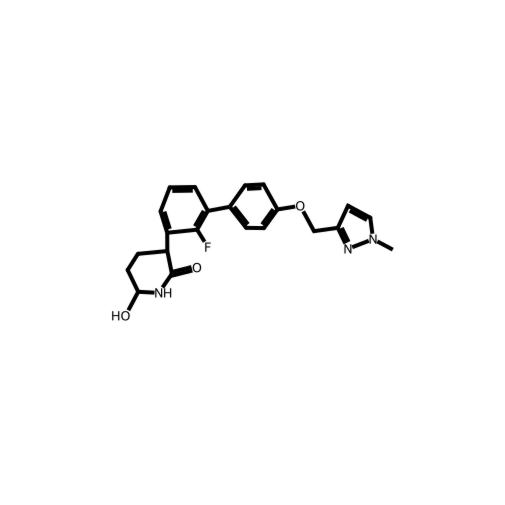 Cn1ccc(COc2ccc(-c3cccc(C4CCC(O)NC4=O)c3F)cc2)n1